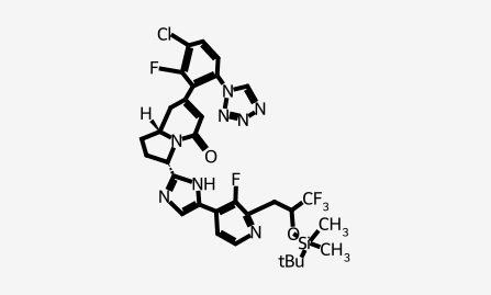 CC(C)(C)[Si](C)(C)OC(Cc1nccc(-c2cnc([C@@H]3CC[C@@H]4CC(c5c(-n6cnnn6)ccc(Cl)c5F)=CC(=O)N43)[nH]2)c1F)C(F)(F)F